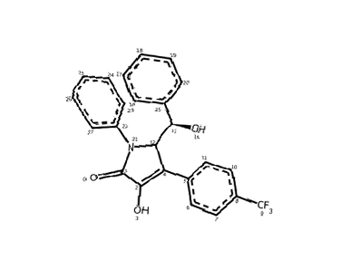 O=C1C(O)=C(c2ccc(C(F)(F)F)cc2)C([C@H](O)c2ccccc2)N1c1ccccc1